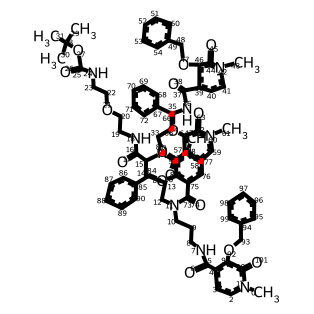 Cn1ccc(C(=O)NCCCN(CCCC(C(=O)NCCOCCNC(=O)OC(C)(C)C)N(CCCNC(=O)c2ccn(C)c(=O)c2OCc2ccccc2)C(=O)c2ccn(C)c(=O)c2OCc2ccccc2)C(=O)c2ccn(C)c(=O)c2OCc2ccccc2)c(OCc2ccccc2)c1=O